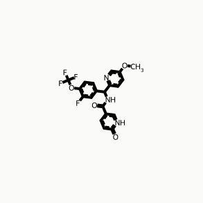 COc1ccc(C(NC(=O)c2ccc(=O)[nH]c2)c2ccc(OC(F)(F)F)c(F)c2)nc1